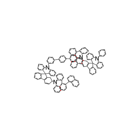 C1=CC(N(c2ccc(-c3ccc(-c4cccc(N5c6ccccc6C6(C7=C(C=CC(N(c8ccccc8)c8ccccc8-c8ccccc8-c8cccc9ccccc89)C7)c7ccccc76)c6ccccc65)c4)cc3)cc2)c2ccccc2-c2ccccc2-c2cccc3ccccc23)CC2=C1c1ccccc1C21c2ccccc2N(c2ccccc2)c2ccccc21